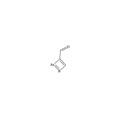 O=CC1=CB=[As]1